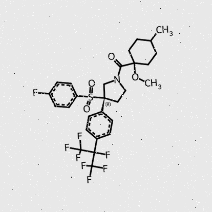 COC1(C(=O)N2CC[C@](c3ccc(C(F)(C(F)(F)F)C(F)(F)F)cc3)(S(=O)(=O)c3ccc(F)cc3)C2)CCC(C)CC1